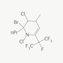 CCCC1(Br)[C](Cl)C(C)C=C(C(F)(C(F)(F)F)C(F)(F)F)N1Cl